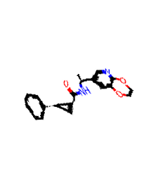 C[C@H](NC(=O)[C@H]1C[C@@H]1c1ccccc1)c1cnc2c(c1)OCCO2